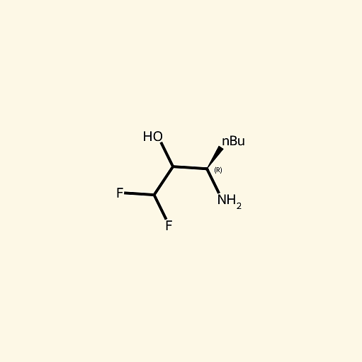 CCCC[C@@H](N)C(O)C(F)F